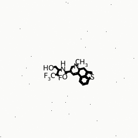 CN1CC(C(=O)NC(CO)C(F)C(F)(F)F)C=C2c3cccc4scc(c34)CC21